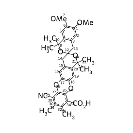 COc1cc2c(cc1OC)C(C)(C)OC1(C2)Cc2cc3c(cc2C(C)(C)O1)Oc1c(c(C#N)c(C)c(C)c1C(=O)O)O3